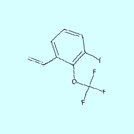 C=[C]c1cccc(I)c1OC(F)(F)F